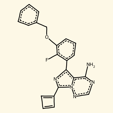 Nc1ncnn2c(C3=CC=C3)nc(-c3cccc(OCc4ccccc4)c3F)c12